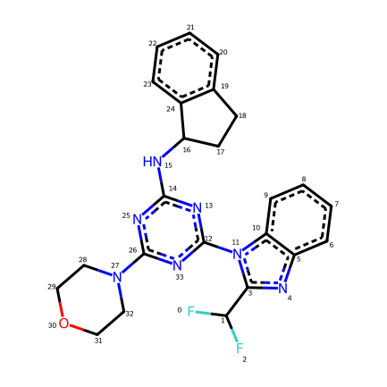 FC(F)c1nc2ccccc2n1-c1nc(NC2CCc3ccccc32)nc(N2CCOCC2)n1